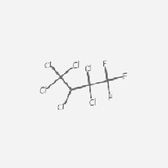 FC(F)(F)C(Cl)(Cl)C(Cl)C(Cl)(Cl)Cl